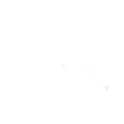 NCN1CCN(C(=O)Oc2ccccc2)CC1